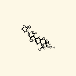 Cc1cc(N2CCOC2=O)ncc1-c1ccc2c(c1)OC[C@H]1[C@H](CO)OC(=O)N21